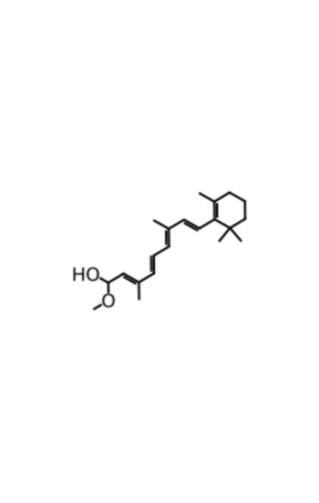 COC(O)C=C(C)C=CC=C(C)C=CC1=C(C)CCCC1(C)C